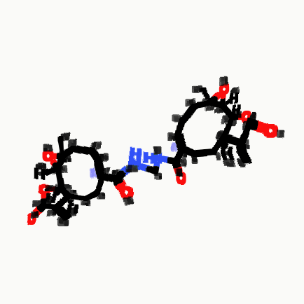 C=C1C(=O)O[C@H]2[C@H]1CC/C(C(=O)NCNC(=O)/C1=C/CC[C@@]3(C)O[C@H]3[C@H]3OC(=O)C(=C)[C@@H]3CC1)=C\CC[C@@]1(C)O[C@@H]21